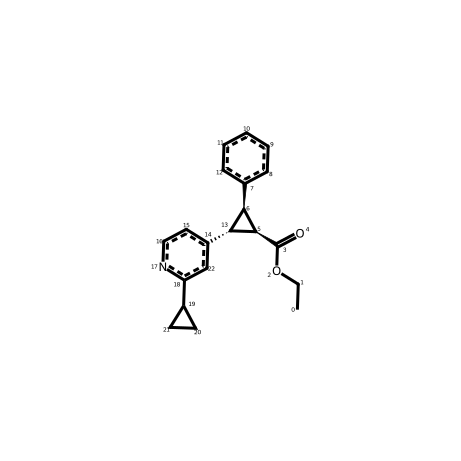 CCOC(=O)[C@@H]1[C@H](c2ccccc2)[C@H]1c1ccnc(C2CC2)c1